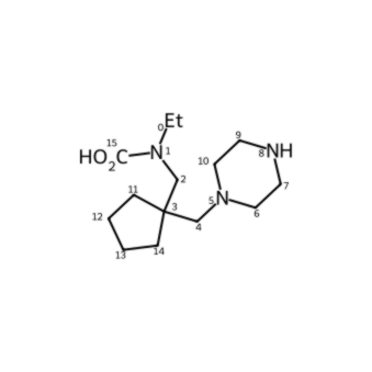 CCN(CC1(CN2CCNCC2)CCCC1)C(=O)O